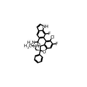 CNC[C@@]1(c2ccccc2)Cc2c(cc(F)c(Cl)c2-c2c(C(N)=O)cc3cc[nH]c3c2F)O1